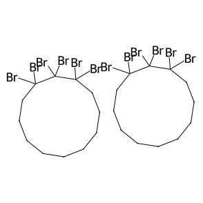 BrC1(Br)CCCCCCCCCC(Br)(Br)C1(Br)Br.BrC1(Br)CCCCCCCCCC(Br)(Br)C1(Br)Br